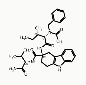 CC[C@H](C)[C@@H](C(=O)N[C@]1(C(=O)N[C@H](C(N)=O)C(C)C)CCc2[nH]c3ccccc3c2C1)N(Cc1ccccc1)C(=O)O